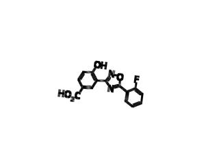 O=C(O)c1ccc(O)c(-c2noc(-c3ccccc3F)n2)c1